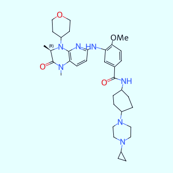 COc1ccc(C(=O)NC2CCC(N3CCN(C4CC4)CC3)CC2)cc1Nc1ccc2c(n1)N(C1CCOCC1)[C@H](C)C(=O)N2C